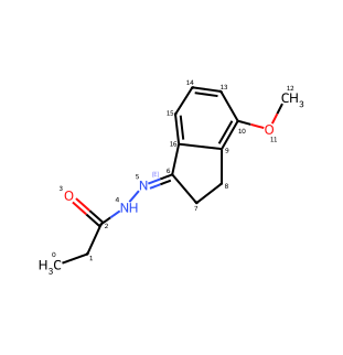 CCC(=O)N/N=C1\CCc2c(OC)cccc21